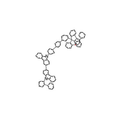 c1ccc(-c2cccc(-c3ccccc3C3(c4cccc(-c5ccc(-c6ccc(-n7c8ccccc8c8cc(-c9ccc%10c(c9)c9ccccc9n%10-c9ccccc9-c9ccccc9)ccc87)cc6)cc5)c4)c4ccccc4-c4ccccc43)c2)cc1